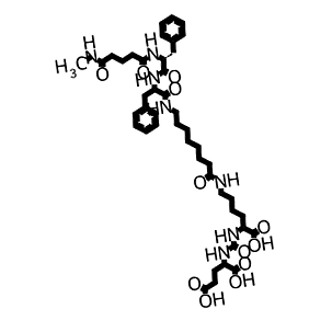 CNC(=O)CCCC(=O)N[C@H](Cc1ccccc1)C(=O)NC(Cc1ccccc1)C(=O)NCCCCCCCC(=O)NCCCCC(NC(=O)NC(CCC(=O)O)C(=O)O)C(=O)O